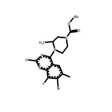 CC1CN(C(=O)OC(C)(C)C)CCN1c1nc(Cl)nc2c(F)c(Br)c(I)cc12